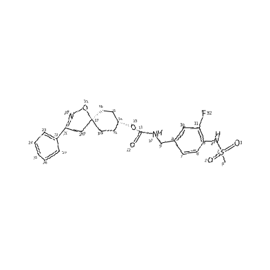 CS(=O)(=O)Nc1ccc(CNC(=O)O[C@H]2CC[C@]3(CC2)CC(c2ccccc2)=NO3)cc1F